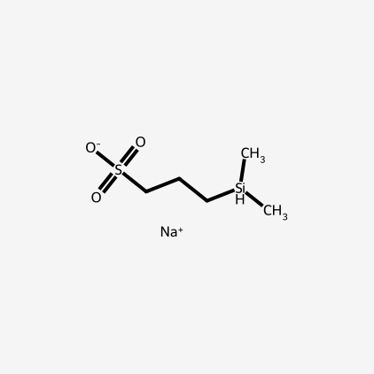 C[SiH](C)CCCS(=O)(=O)[O-].[Na+]